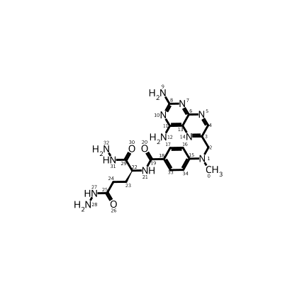 CN(Cc1cnc2nc(N)nc(N)c2n1)c1ccc(C(=O)N[C@@H](CCC(=O)NN)C(=O)NN)cc1